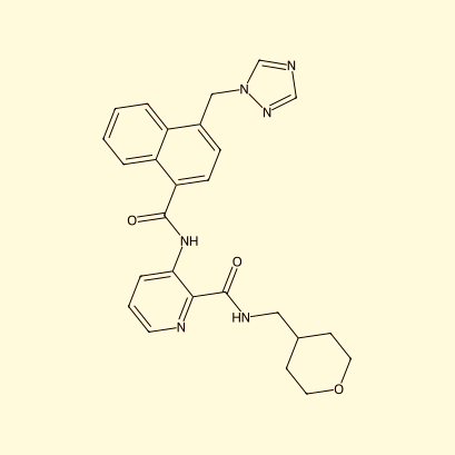 O=C(NCC1CCOCC1)c1ncccc1NC(=O)c1ccc(Cn2cncn2)c2ccccc12